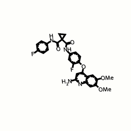 COc1cc2nc(N)cc(Oc3ccc(NC(=O)C4(C(=O)Nc5ccc(F)cc5)CC4)cc3F)c2cc1OC